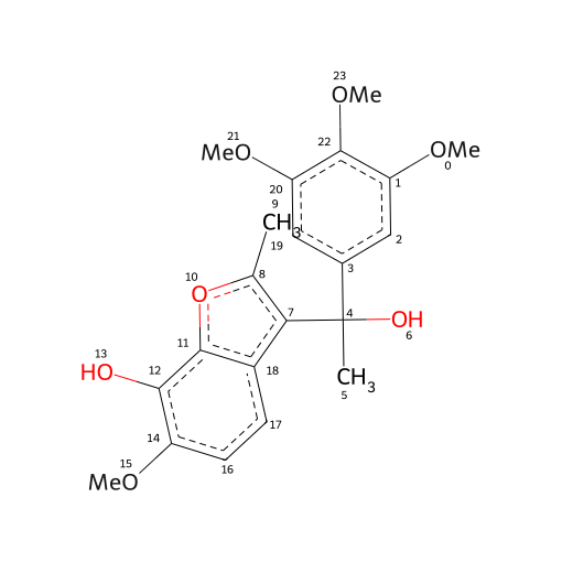 COc1cc(C(C)(O)c2c(C)oc3c(O)c(OC)ccc23)cc(OC)c1OC